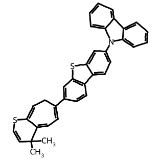 CC1(C)C=CSC2=CCC(c3ccc4c(c3)sc3cc(-n5c6ccccc6c6ccccc65)ccc34)=CC=C21